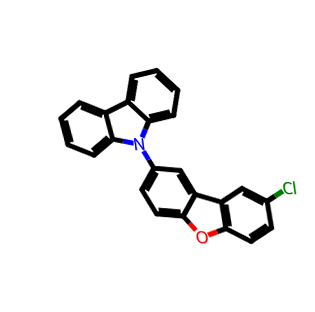 Clc1ccc2oc3ccc(-n4c5ccccc5c5ccccc54)cc3c2c1